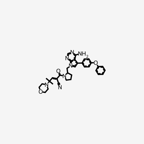 CC(C)(C=C(C#N)C(=O)N1CCCC1Cn1cc(-c2ccc(Oc3ccccc3)cc2)c2c(N)ncnc21)N1CCOCC1